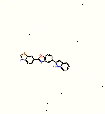 c1ccc2[nH]c(-c3ccc4oc(-c5ccc6ncsc6c5)nc4c3)cc2c1